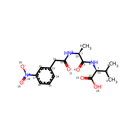 CC(C)[C@H](NC(=O)[C@H](C)NC(=O)Cc1cccc([N+](=O)[O-])c1)C(=O)O